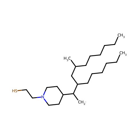 [CH2]C(C1CCN(CCS)CC1)C(CCCCCC)CC(C)CCCCCC